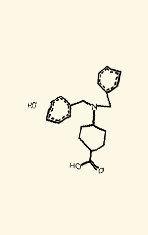 Cl.O=C(O)C1CCC(N(Cc2ccccc2)Cc2ccccc2)CC1